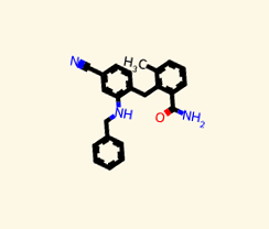 Cc1cccc(C(N)=O)c1Cc1ccc(C#N)cc1NCc1ccccc1